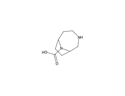 O=C(O)N1C2CCNCC1CC2